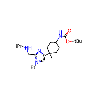 CCn1cc(C2(C)CCC(NC(=O)OC(C)(C)C)CC2)nc1CNC(C)C